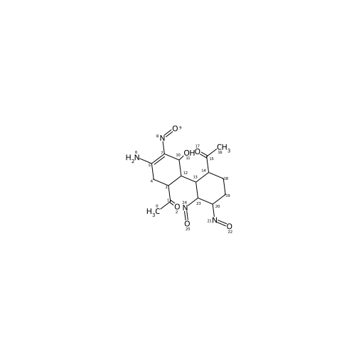 CC(=O)C1CC(N)=C(N=O)C(O)C1C1C(C(C)=O)CCC(N=O)C1N=O